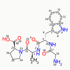 C[C@H](NC(=O)[C@H](Cc1c[nH]c2ccccc12)NC(=O)CN)C(=O)N1CCC[C@H]1C(=O)O